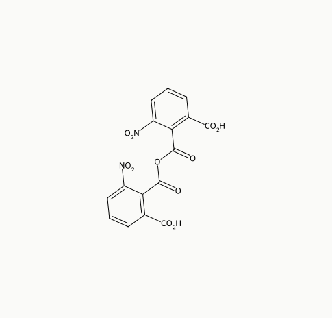 O=C(O)c1cccc([N+](=O)[O-])c1C(=O)OC(=O)c1c(C(=O)O)cccc1[N+](=O)[O-]